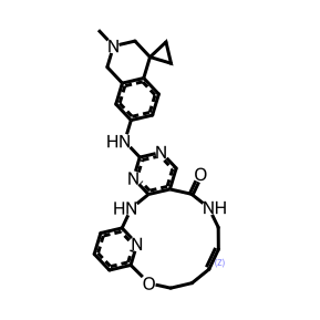 CN1Cc2cc(Nc3ncc4c(n3)Nc3cccc(n3)OCC/C=C\CNC4=O)ccc2C2(CC2)C1